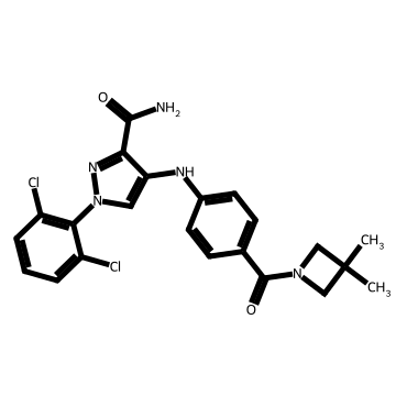 CC1(C)CN(C(=O)c2ccc(Nc3cn(-c4c(Cl)cccc4Cl)nc3C(N)=O)cc2)C1